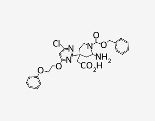 NC1CC(CC(=O)O)(c2nc(Cl)cc(OCCOc3ccccc3)n2)CCN1C(=O)OCc1ccccc1